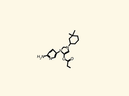 CCC(=O)OC1=CN(C2CCCC(C)(C)C2)CN1c1ccc(N)nc1